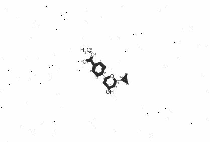 COC(=O)c1ccc([C@H]2CC(O)C[C@@H](C3CC3)O2)cc1